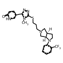 Cn1c(SCCCN2C[C@H]3CCN(c4ccccc4C(F)(F)F)[C@H]3C2)nnc1-c1ccc(=O)[nH]c1